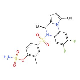 CC[C@H]1c2ccc(C#N)n2-c2cc(F)c(F)cc2N1S(=O)(=O)c1ccc(OS(N)(=O)=O)c(C)c1